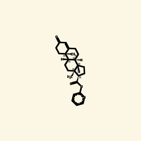 C[C@]12CC[C@H]3[C@@H](CCC4=CC(=O)CC[C@@]43C)[C@@H]1CC[C@@H]2C(=S)Oc1ccccn1